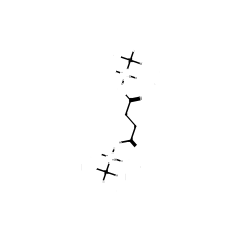 CC(C)(C)[Si](C)(C)OC(=O)CCC(=O)O[Si](C)(C)C(C)(C)C